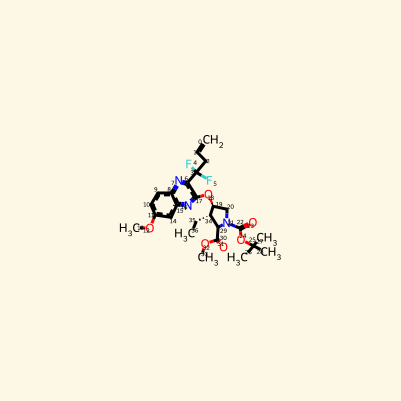 C=CCC(F)(F)c1nc2ccc(OC)cc2nc1O[C@H]1CN(C(=O)OC(C)(C)C)C(C(=O)OC)[C@@H]1CC